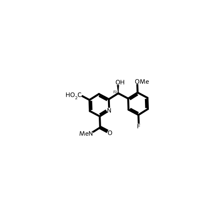 CNC(=O)c1cc(C(=O)O)cc([C@@H](O)c2cc(F)ccc2OC)n1